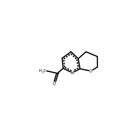 CC(=O)c1ccc2c(n1)OCCC2